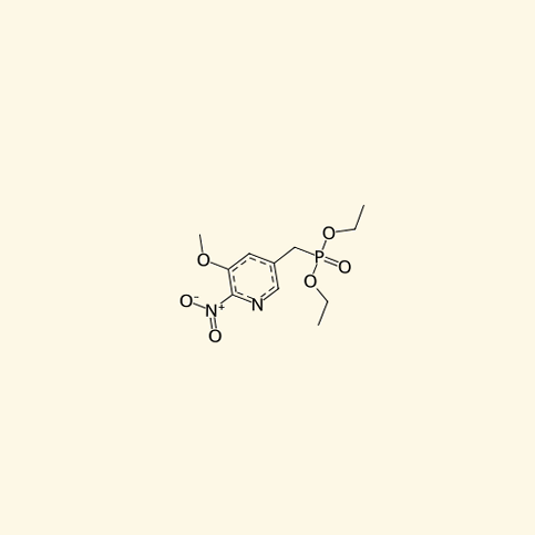 CCOP(=O)(Cc1cnc([N+](=O)[O-])c(OC)c1)OCC